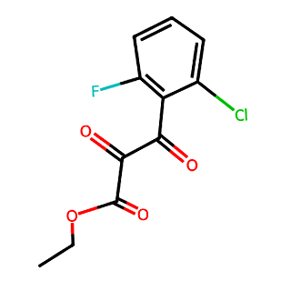 CCOC(=O)C(=O)C(=O)c1c(F)cccc1Cl